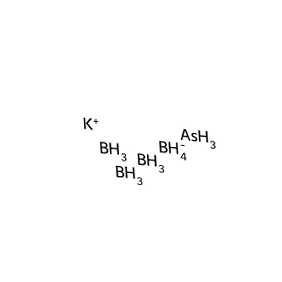 B.B.B.[AsH3].[BH4-].[K+]